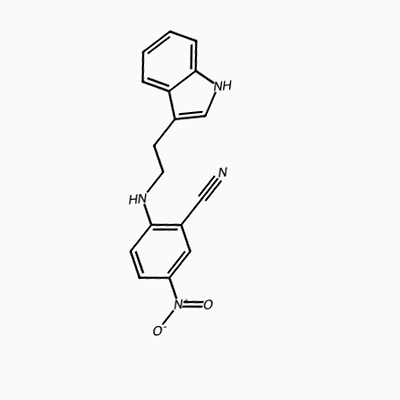 N#Cc1cc([N+](=O)[O-])ccc1NCCc1c[nH]c2ccccc12